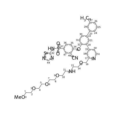 COCCOCCOCCOCCNCCOCc1cc(-c2cc(-c3cccc(C)c3)ccc2Oc2ccc(S(=O)(=O)Nc3ncns3)cc2C#N)ccn1